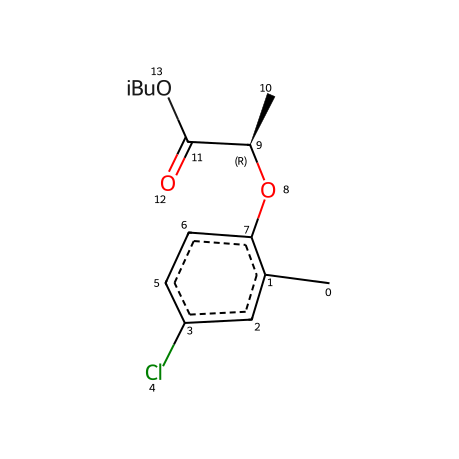 Cc1cc(Cl)ccc1O[C@H](C)C(=O)OCC(C)C